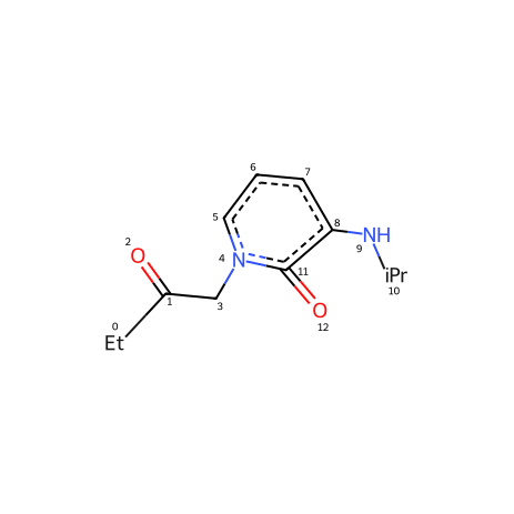 CCC(=O)Cn1cccc(NC(C)C)c1=O